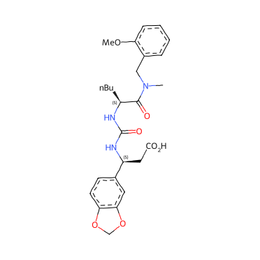 CCCC[C@H](NC(=O)N[C@@H](CC(=O)O)c1ccc2c(c1)OCO2)C(=O)N(C)Cc1ccccc1OC